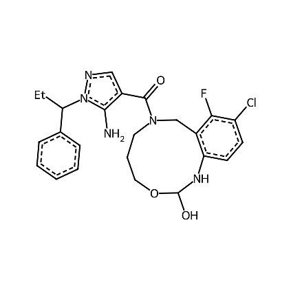 CCC(c1ccccc1)n1ncc(C(=O)N2CCCOC(O)Nc3ccc(Cl)c(F)c3C2)c1N